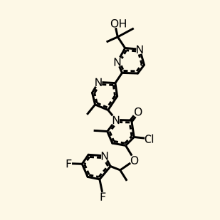 Cc1cnc(-c2ccnc(C(C)(C)O)n2)cc1-n1c(C)cc(OC(C)c2ncc(F)cc2F)c(Cl)c1=O